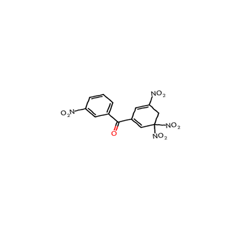 O=C(C1=CC([N+](=O)[O-])([N+](=O)[O-])CC([N+](=O)[O-])=C1)c1cccc([N+](=O)[O-])c1